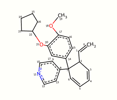 C=CC1C=CC=CC1(c1ccncc1)c1ccc(OC)c(OC2CCCC2)c1